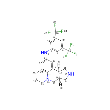 FC(F)(F)c1cc(Nc2cc3c4c(c2)[C@@H]2CNC[C@@H]2CN4CCC3)cc(C(F)(F)F)c1